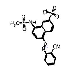 CS(=O)(=O)Nc1ccc(/N=N/c2ccccc2C#N)c2ccc(S(=O)(=O)Cl)cc12